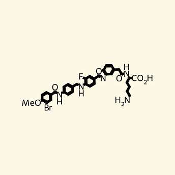 COc1ccc(C(=O)Nc2ccc(CNc3ccc(-c4nc5cc(CC(=O)NC(CCCCN)C(=O)O)ccc5o4)cc3F)cc2)cc1Br